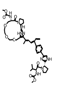 C=C/C(=C\C=C(/C)c1nc2[nH]c1CCCOCCOC[C@H](NC(=O)OC)C(=O)N1CCC[C@@H]21)c1ccc(-c2c[nH]c([C@@H]3CCCN3C(=O)[C@@H](NC(=O)OC)C(C)C)n2)cc1